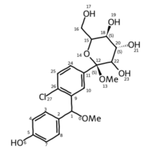 COC(c1ccc(O)cc1)c1cc([C@]2(OC)OC(CO)[C@@H](O)[C@H](O)C2O)ccc1Cl